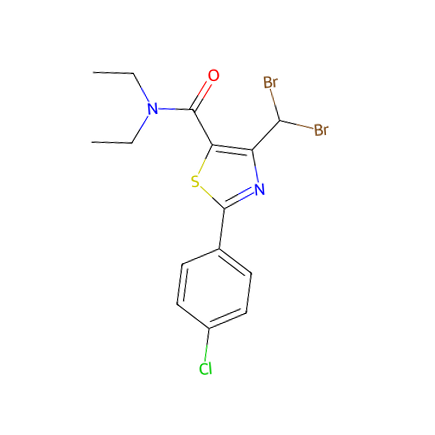 CCN(CC)C(=O)c1sc(-c2ccc(Cl)cc2)nc1C(Br)Br